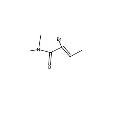 C/C=C(\Br)C(=O)N(C)C